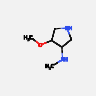 CNC1CNCC1OC